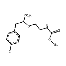 CC(C)(C)OC(=O)NCCOC(Cc1ccc(Cl)cc1)C(=O)O